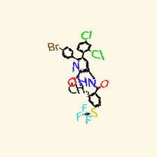 COCc1nc(-c2ccc(Br)cc2)c(-c2ccc(Cl)cc2Cl)cc1CNC(=O)c1ccc(SC(F)(F)F)cc1